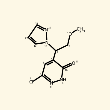 COCC(c1cc(Cl)n[nH]c1=O)n1cccn1